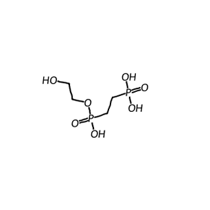 O=P(O)(O)CCP(=O)(O)OCCO